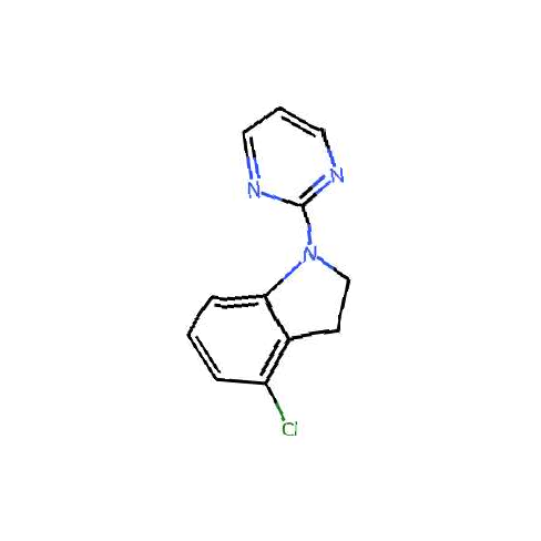 Clc1cccc2c1CCN2c1ncccn1